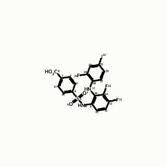 O=C(O)c1ccc(S(=O)(=O)Nc2ccc(F)c(F)c2Nc2ccc(I)cc2F)cc1